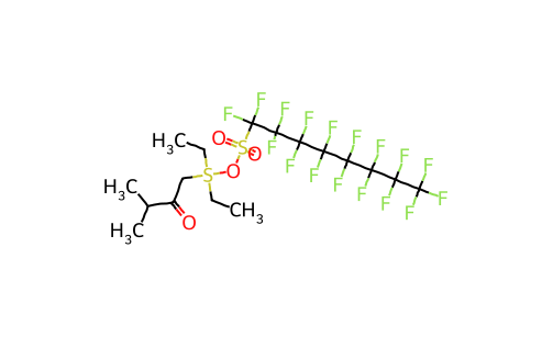 CCS(CC)(CC(=O)C(C)C)OS(=O)(=O)C(F)(F)C(F)(F)C(F)(F)C(F)(F)C(F)(F)C(F)(F)C(F)(F)C(F)(F)F